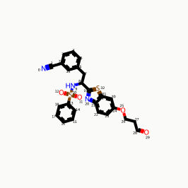 N#Cc1cccc(CC(NS(=O)(=O)c2ccccc2)c2nc3ccc(OCCC=O)cc3s2)c1